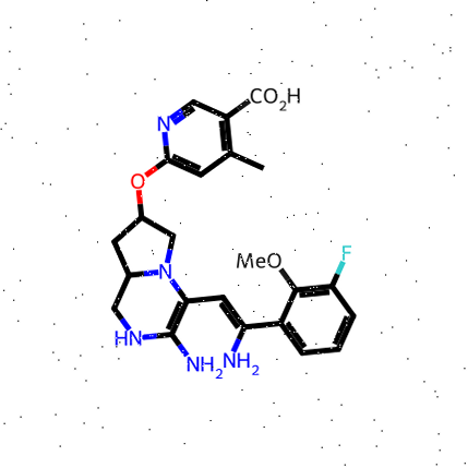 COc1c(F)cccc1/C(N)=C/C1=C(N)NCC2CC(Oc3cc(C)c(C(=O)O)cn3)CN12